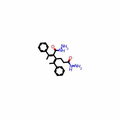 CC(=C(CCC(=O)NN)C(C(=O)NN)=C(C)c1ccccc1)c1ccccc1